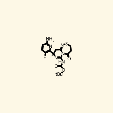 CC(C)(C)OC(=O)NC1=N[C@@](C)(c2nc(N)ccc2F)CC2=NSCCC(=O)N21